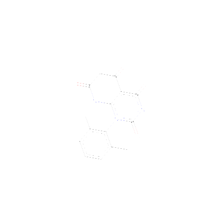 Cc1cccc(C(C)C)c1-n1c2c(c(=O)[nH]c1=O)C(=O)CC(=O)N2